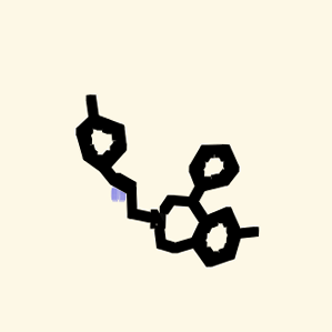 Cc1ccc(/C=C/CN2CCc3ccc(C)cc3C(c3ccccc3)C2)cc1